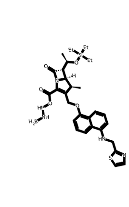 BNPOC(=O)C1=C(COc2cccc3c(NCc4nccs4)cccc23)[C@H](C)[C@@H]2[C@@H]([C@@H](C)O[Si](CC)(CC)CC)C(=O)N12